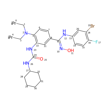 CC(C)CN(CC(C)C)c1ccc(C(=NO)Nc2ccc(F)c(Br)c2)cc1NC(=O)NC1CCCCC1